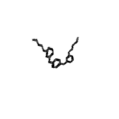 CCCCCc1cccc(Cc2ccc(Cc3cccc(CCCCC)c3)cc2)c1